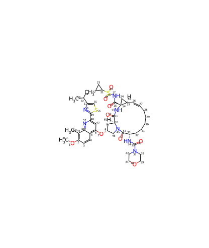 COc1ccc2c(O[C@@H]3C[C@H]4C(=O)N[C@]5(C(=O)NS(=O)(=O)C6CC6)C[C@H]5C=CCCCCC[C@H](NC(=O)N5CCOCC5)C(=O)N4C3)cc(-c3nc(C(C)C)cs3)nc2c1C